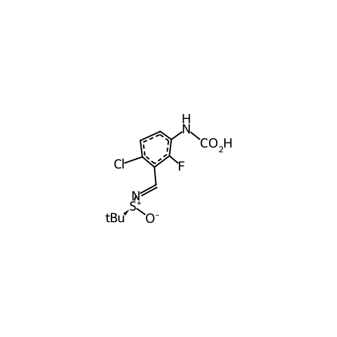 CC(C)(C)[S@+]([O-])/N=C/c1c(Cl)ccc(NC(=O)O)c1F